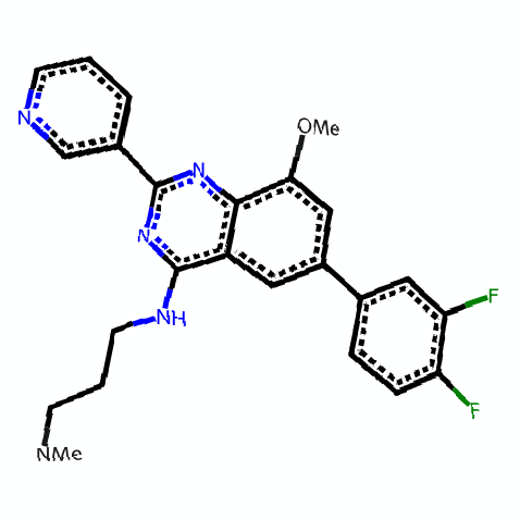 CNCCCNc1nc(-c2cccnc2)nc2c(OC)cc(-c3ccc(F)c(F)c3)cc12